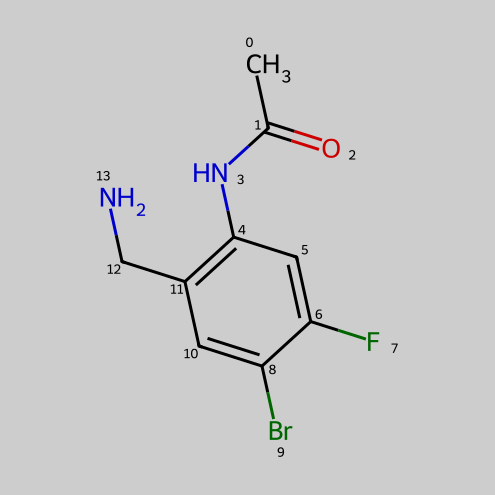 CC(=O)Nc1cc(F)c(Br)cc1CN